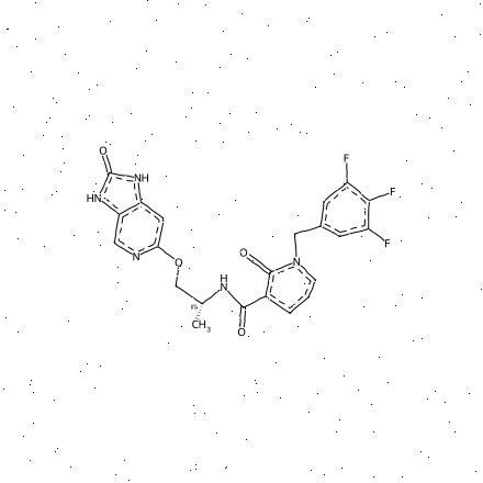 C[C@H](COc1cc2[nH]c(=O)[nH]c2cn1)NC(=O)c1cccn(Cc2cc(F)c(F)c(F)c2)c1=O